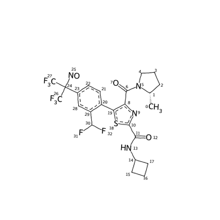 C[C@H]1CCCN1C(=O)c1nc(C(=O)NC2CCC2)sc1-c1ccc(C(N=O)(C(F)(F)F)C(F)(F)F)cc1C(F)F